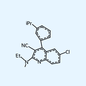 CCN(C)c1nc2ccc(Cl)cc2c(-c2cccc(C(C)C)c2)c1C#N